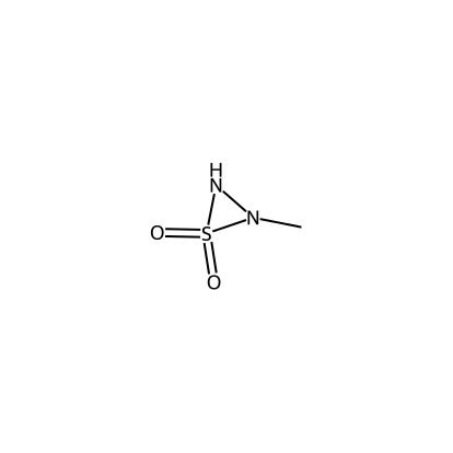 CN1NS1(=O)=O